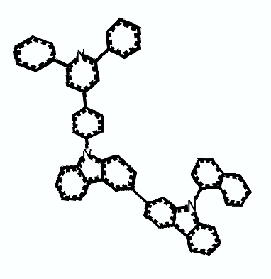 c1ccc(-c2cc(-c3ccc(-n4c5ccccc5c5cc(-c6ccc7c8ccccc8n(-c8cccc9ccccc89)c7c6)ccc54)cc3)cc(-c3ccccc3)n2)cc1